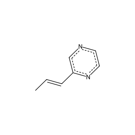 C/C=C/c1cnccn1